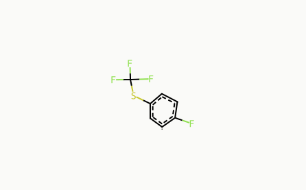 Fc1[c]cc(SC(F)(F)F)cc1